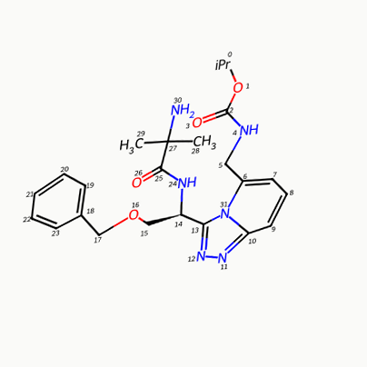 CC(C)OC(=O)NCc1cccc2nnc([C@@H](COCc3ccccc3)NC(=O)C(C)(C)N)n12